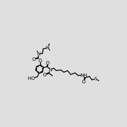 CSCCC(=O)NCCCCCCCCN(C(C)=O)C(=O)c1cc(CO)ccc1OC(=O)N(C)CCN(C)C